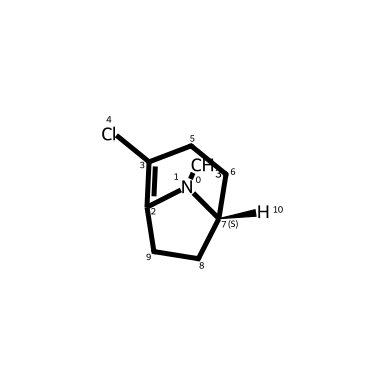 CN1C2=C(Cl)CC[C@@H]1CC2